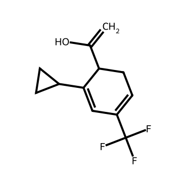 C=C(O)C1CC=C(C(F)(F)F)C=C1C1CC1